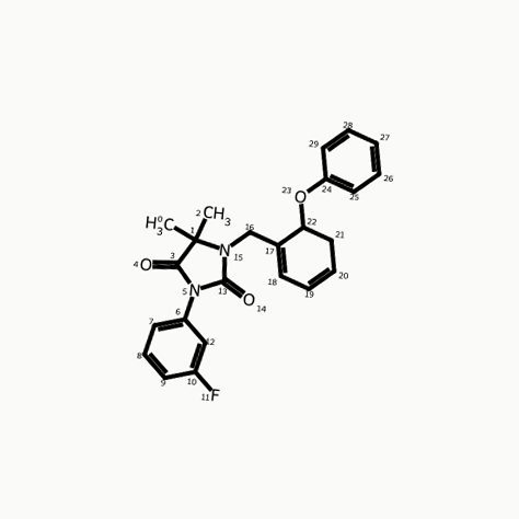 CC1(C)C(=O)N(c2cccc(F)c2)C(=O)N1CC1=CC=CCC1Oc1ccccc1